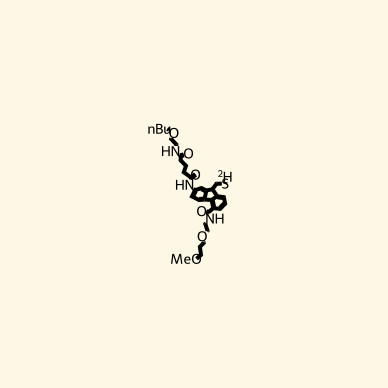 [2H]SCC1c2cc(NC(=O)CCCC(=O)NCCOCCCC)ccc2-c2c(C(=O)NCCOCCCOC)cccc21